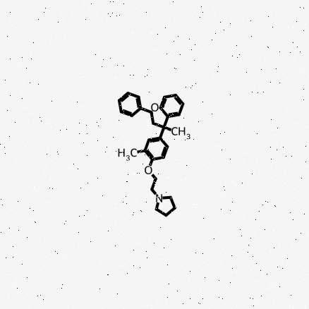 Cc1cc(C(C)(CC(=O)c2ccccc2)c2ccccc2)ccc1OCCN1CCCC1